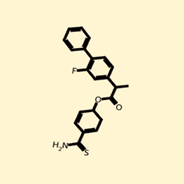 CC(C(=O)OC1C=CC(C(N)=S)=CC1)c1ccc(-c2ccccc2)c(F)c1